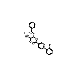 C[C@@H](CC(NC(=O)c1ccc(-c2ccccc2Cl)nc1)C(=O)O)c1ccccc1